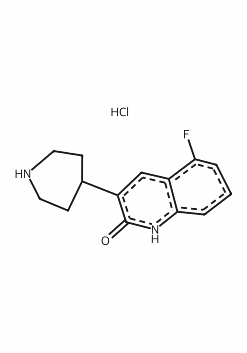 Cl.O=c1[nH]c2cccc(F)c2cc1C1CCNCC1